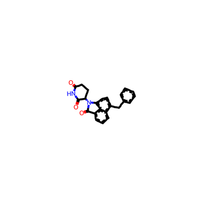 O=C1CCC(N2C(=O)c3cccc4c(Cc5ccccc5)ccc2c34)C(=O)N1